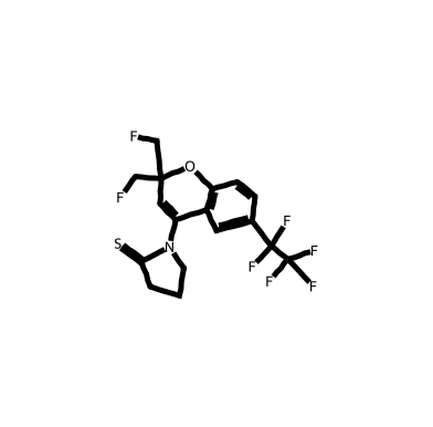 FCC1(CF)C=C(N2CCCC2=S)c2cc(C(F)(F)C(F)(F)F)ccc2O1